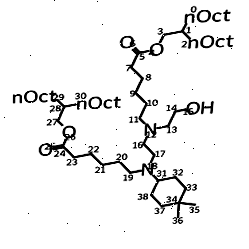 CCCCCCCCC(CCCCCCCC)COC(=O)CCCCCN(CCO)CCN(CCCCCC(=O)OCC(CCCCCCCC)CCCCCCCC)C1CCC(C)(C)CC1